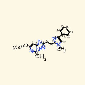 COc1cc2nc(C=Cc3nc(-c4ccccc4)cn3C)nn2c(C)n1